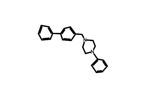 c1ccc(-c2ccc(CN3CCN(c4ccccc4)CC3)cc2)cc1